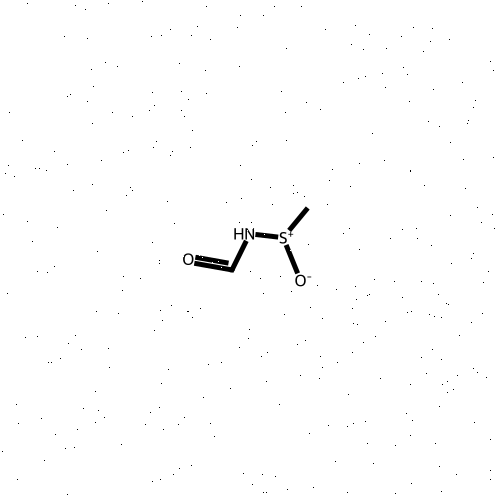 C[S+]([O-])NC=O